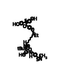 CCN(CCCCCCCC(=O)N[C@H](C(=O)N1C[C@H](O)C[C@H]1C(=O)NCc1ccc(-c2scnc2C)cc1)C(C)(C)C)CCOc1ccc(C(=O)c2c(-c3ccc(O)cc3)sc3cc(O)ccc23)cc1